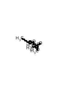 CCCCCCc1ccc(C(=O)/C(C)=C/c2c(OC)cc(OC)cc2OC=O)cc1